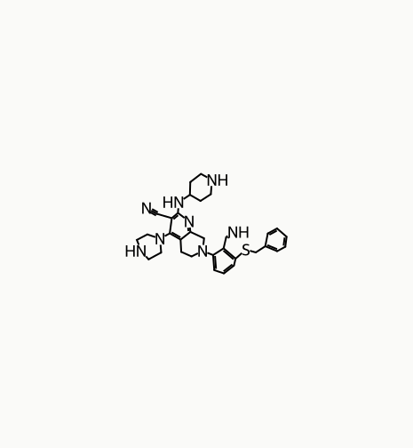 N#Cc1c(NC2CCNCC2)nc2c(c1N1CCNCC1)CCN(c1cccc(SCc3ccccc3)c1C=N)C2